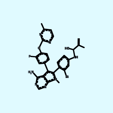 C=C(C)C(O)Nc1ccc(-c2c(-c3ccc(Oc4nccc(C)n4)c(F)c3)c3c(N)ncnc3n2C)c(CC)c1